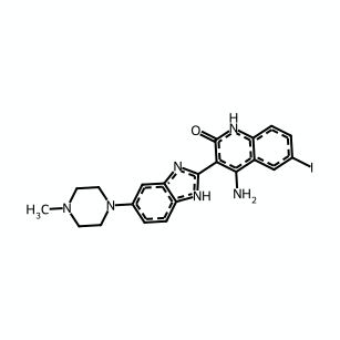 CN1CCN(c2ccc3[nH]c(-c4c(N)c5cc(I)ccc5[nH]c4=O)nc3c2)CC1